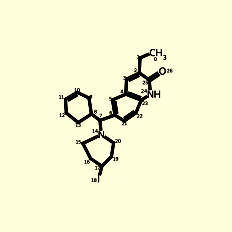 CCc1cc2cc(C(C3CC=CCC3)N3CCC(I)CC3)ccc2[nH]c1=O